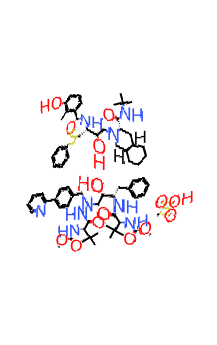 COC(=O)N[C@H](C(=O)N[C@@H](Cc1ccccc1)[C@@H](O)CN(Cc1ccc(-c2ccccn2)cc1)NC(=O)[C@@H](NC(=O)OC)C(C)(C)C)C(C)(C)C.CS(=O)(=O)O.Cc1c(O)cccc1C(=O)N[C@@H](CSc1ccccc1)[C@H](O)CN1C[C@H]2CCCC[C@H]2C[C@H]1C(=O)NC(C)(C)C